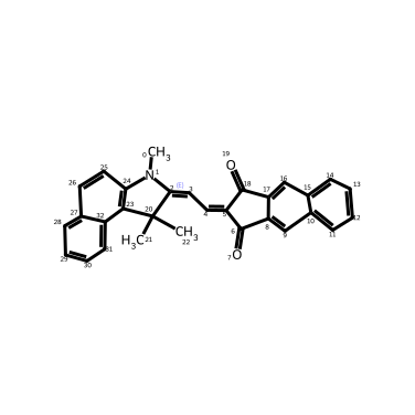 CN1/C(=C/C=C2C(=O)c3cc4ccccc4cc3C2=O)C(C)(C)c2c1ccc1ccccc21